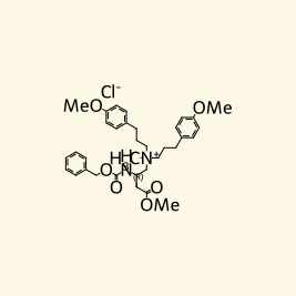 COC(=O)C[C@H](C[N+](C)(CCCc1ccc(OC)cc1)CCCc1ccc(OC)cc1)NC(=O)OCc1ccccc1.[Cl-]